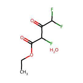 CCOC(=O)C(F)C(=O)C(F)F.O